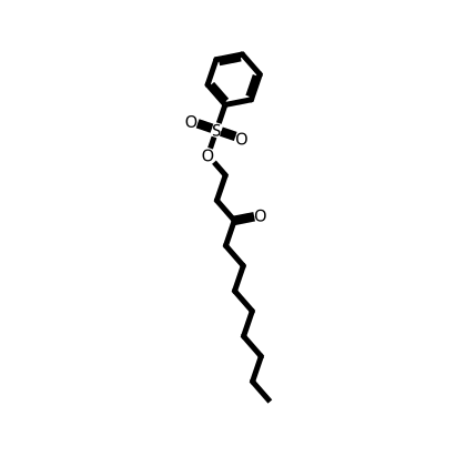 CCCCCCCCC(=O)CCOS(=O)(=O)c1ccccc1